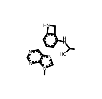 CC(O)Nc1cccc2c1CN2.Cn1cnc2cncnc21